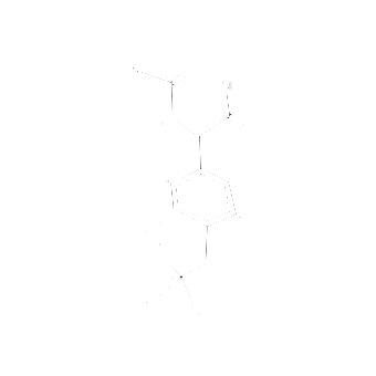 NC(=O)OC(C(N)=O)c1ccc(OC(F)(F)F)c(F)c1